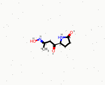 C/C(CC(=O)[C@@H]1CCC(=O)N1)=N\O